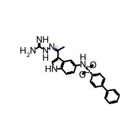 C/C(=N/NC(=N)N)c1c[nH]c2ccc(NS(=O)(=O)c3ccc(-c4ccccc4)cc3)cc12